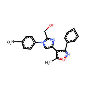 Cc1onc(-c2ccccc2)c1-c1cn(-c2ccc([N+](=O)[O-])cc2)c(CO)n1